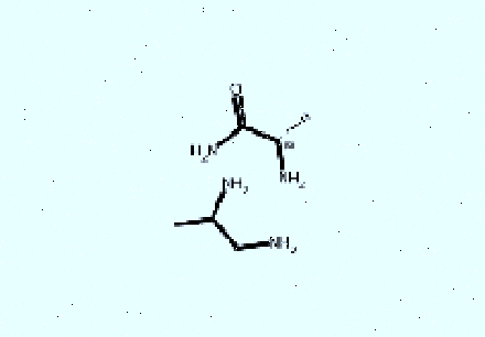 CC(N)CN.C[C@H](N)C(N)=O